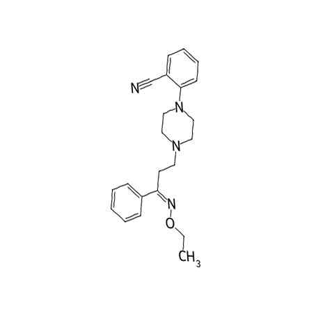 CCON=C(CCN1CCN(c2ccccc2C#N)CC1)c1ccccc1